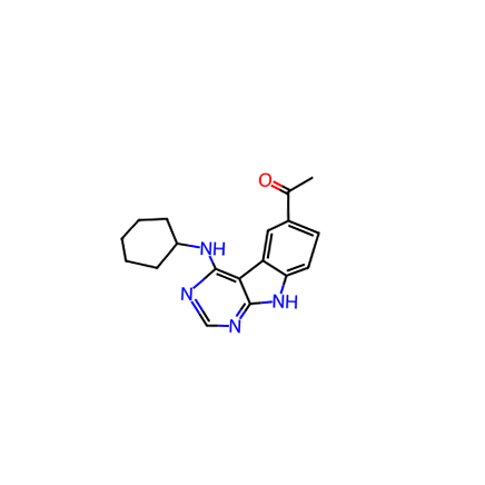 CC(=O)c1ccc2[nH]c3ncnc(NC4CCCCC4)c3c2c1